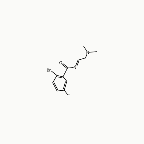 CN(C)CC=NC(=O)c1cc(F)ccc1Br